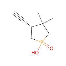 C#CC1CP(=O)(O)CC1(C)C